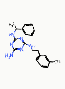 C[C@H](Nc1nc(N)nc(NCCc2cccc(C#N)c2)n1)c1ccccc1